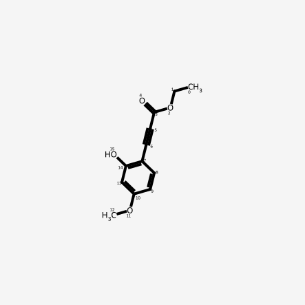 CCOC(=O)C#Cc1ccc(OC)cc1O